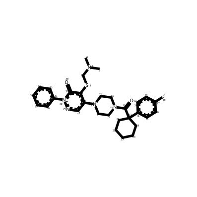 CN(C)CSc1c(N2CCN(C(=O)C3(c4ccc(Cl)cc4)CCCCC3)CC2)cnn(-c2ccccc2)c1=O